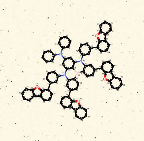 c1ccc(N(c2ccccc2)c2cc3c4c(c2)N(c2cccc(-c5cccc6c5oc5ccccc56)c2)c2cc(-c5cccc6c5oc5ccccc56)ccc2B4c2ccc(-c4cccc5c4oc4ccccc45)cc2N3c2cccc(-c3cccc4c3oc3ccccc34)c2)cc1